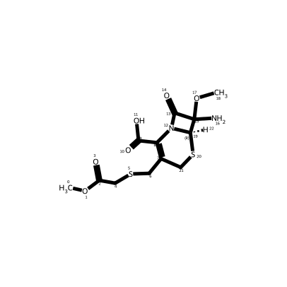 COC(=O)CSCC1=C(C(=O)O)N2C(=O)C(N)(OC)[C@H]2SC1